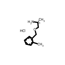 Cc1ccccc1COC[C@@H](C)N.Cl